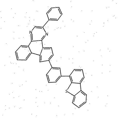 c1ccc(-c2cnc3c4ccccc4c4cc(-c5cccc(-c6cccc7c6sc6ccccc67)c5)ccc4c3n2)cc1